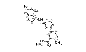 CNC(=O)c1nc(-c2cccc(CN[C@H]3CCc4cc(F)cc(F)c43)c2)cnc1N